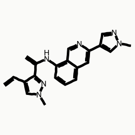 C=Cc1cn(C)nc1C(=C)Nc1cccc2cc(-c3cnn(C)c3)ncc12